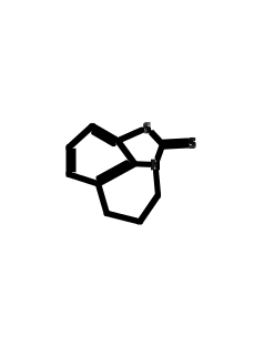 S=c1sc2cccc3c2n1CCC3